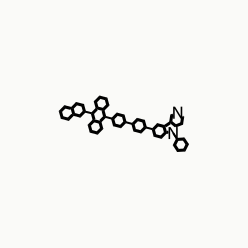 c1ccc(-n2c3ccncc3c3cc(-c4ccc(-c5ccc(-c6c7ccccc7c(-c7ccc8ccccc8c7)c7ccccc67)cc5)cc4)ccc32)cc1